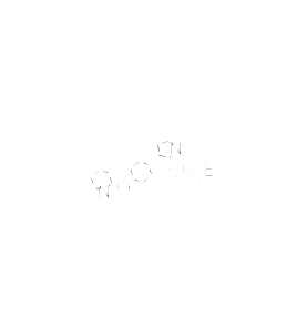 CCOC(=O)c1[nH]c(C)cc1-c1ccc(Oc2cccc(C)n2)cc1